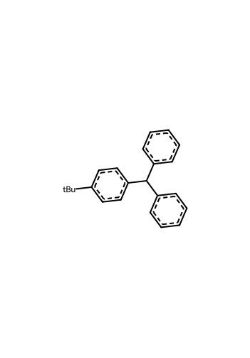 CC(C)(C)c1ccc(C(c2ccccc2)c2ccccc2)cc1